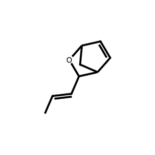 CC=CC1OC2C=CC1C2